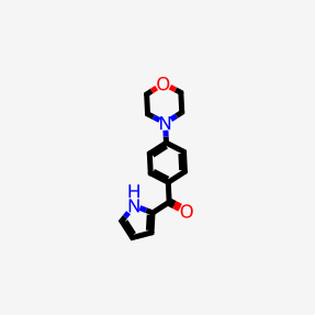 O=C(c1ccc(N2CCOCC2)cc1)c1ccc[nH]1